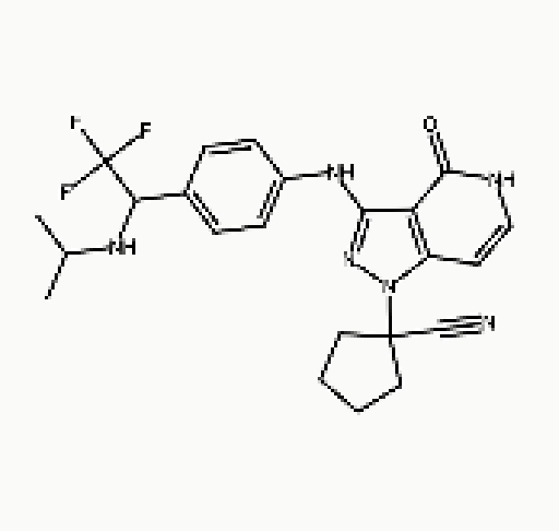 CC(C)NC(c1ccc(Nc2nn(C3(C#N)CCCC3)c3cc[nH]c(=O)c23)cc1)C(F)(F)F